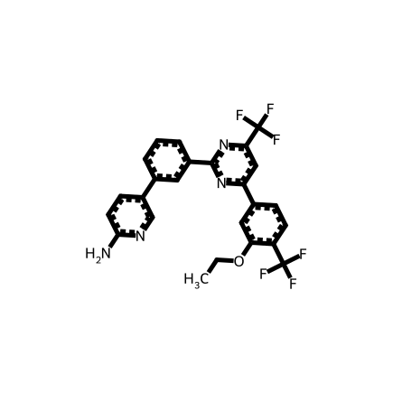 CCOc1cc(-c2cc(C(F)(F)F)nc(-c3cccc(-c4ccc(N)nc4)c3)n2)ccc1C(F)(F)F